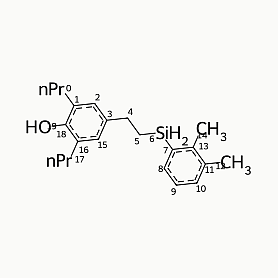 CCCc1cc(CC[SiH2]c2cccc(C)c2C)cc(CCC)c1O